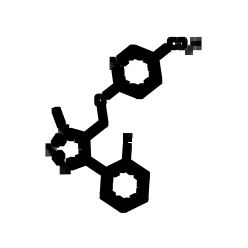 Cn1nnc(-c2ccccc2F)c1COc1ccc(C(=O)O)cn1